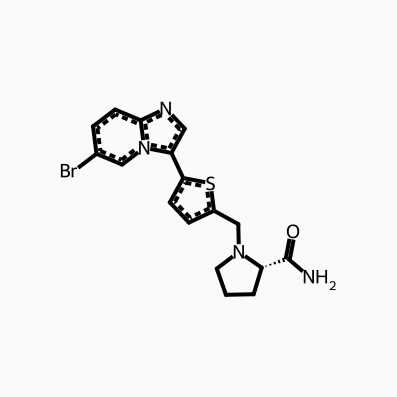 NC(=O)[C@@H]1CCCN1Cc1ccc(-c2cnc3ccc(Br)cn23)s1